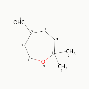 CC1(C)CCC(C=O)CCO1